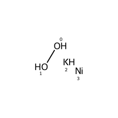 OO.[KH].[Ni]